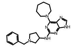 c1ccc(CN2CCC(Nc3nc(N4CCCCCC4)c4nc[nH]c4n3)C2)cc1